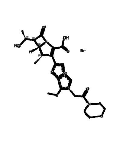 CSc1c2sc(C3=C(C(=O)O)N4C(=O)[C@H]([C@@H](C)O)[C@H]4[C@H]3C)c[n+]2cn1CC(=O)N1CCOCC1.[Br-]